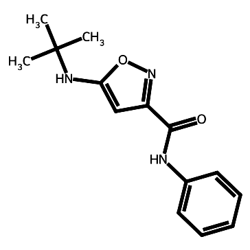 CC(C)(C)Nc1cc(C(=O)Nc2ccccc2)no1